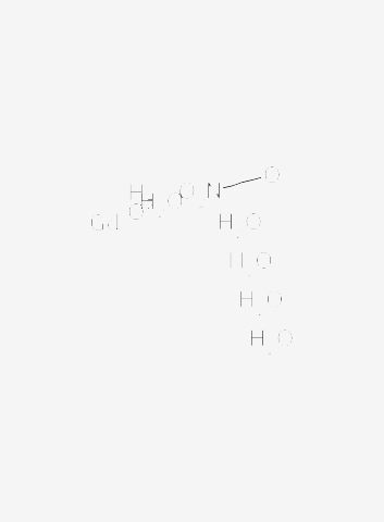 O.O.O.O.O.O.O=[N+]([O-])[O-].[Gd]